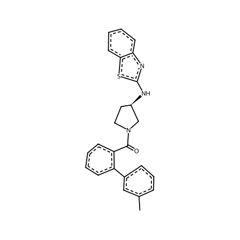 Cc1cccc(-c2ccccc2C(=O)N2CC[C@@H](Nc3nc4ccccc4s3)C2)c1